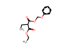 CCOC(=O)C(CC)C(=O)OCOc1ccccc1